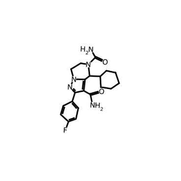 NC(=O)c1c(-c2ccc(F)cc2)nn2c1C(C1CCCCC1)N(C(N)=O)CC2